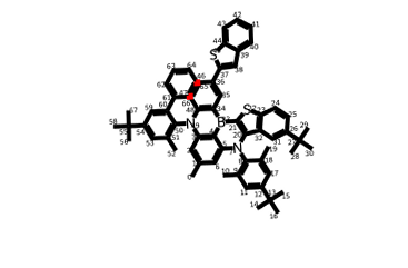 Cc1cc2c3c(c1)N(c1c(C)cc(C(C)(C)C)cc1C)c1c(sc4ccc(C(C)(C)C)cc14)B3c1cc(-c3cc4ccccc4s3)ccc1N2c1c(C)cc(C(C)(C)C)cc1-c1ccccc1